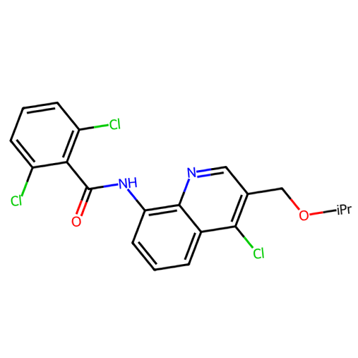 CC(C)OCc1cnc2c(NC(=O)c3c(Cl)cccc3Cl)cccc2c1Cl